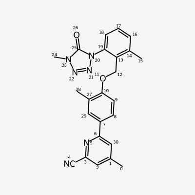 Cc1cc(C#N)nc(-c2ccc(OCc3c(C)cccc3-n3nnn(C)c3=O)c(C)c2)c1